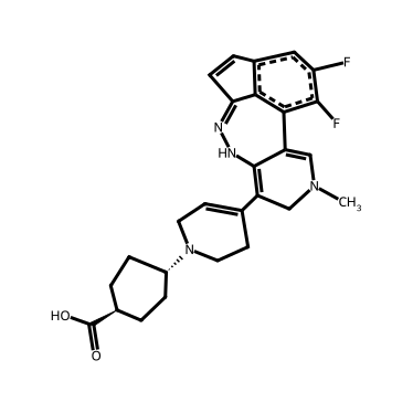 CN1C=C2C(=C(C3=CCN([C@H]4CC[C@H](C(=O)O)CC4)CC3)C1)NN=C1C=Cc3cc(F)c(F)c2c31